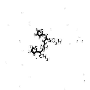 CC(CNCCC(Cc1cccs1)S(=O)(=O)O)c1cccs1